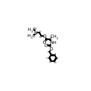 C[C@H](NC(=O)OCc1ccccc1)C(=O)OCCN(C)C